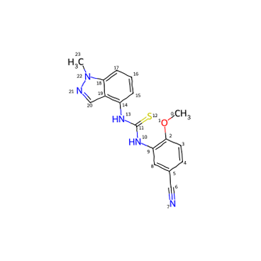 COc1ccc(C#N)cc1NC(=S)Nc1cccc2c1cnn2C